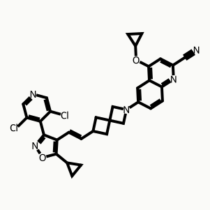 N#Cc1cc(OC2CC2)c2cc(N3CC4(CC(C=Cc5c(-c6c(Cl)cncc6Cl)noc5C5CC5)C4)C3)ccc2n1